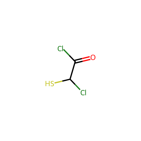 O=C(Cl)C(S)Cl